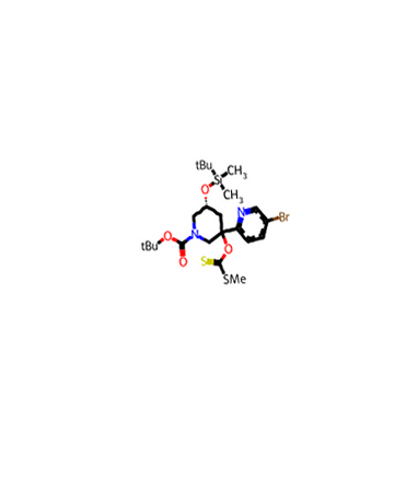 CSC(=S)OC1(c2ccc(Br)cn2)C[C@@H](O[Si](C)(C)C(C)(C)C)CN(C(=O)OC(C)(C)C)C1